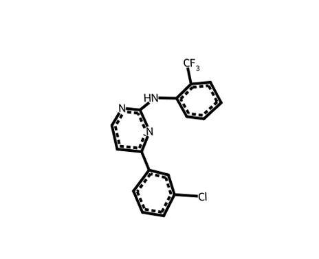 FC(F)(F)c1ccccc1Nc1nccc(-c2cccc(Cl)c2)n1